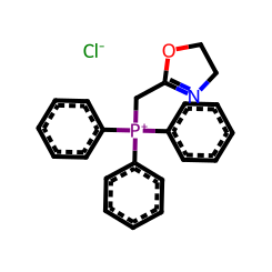 [Cl-].c1ccc([P+](CC2=NCCO2)(c2ccccc2)c2ccccc2)cc1